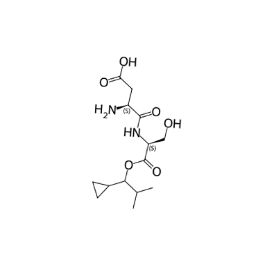 CC(C)C(OC(=O)[C@H](CO)NC(=O)[C@@H](N)CC(=O)O)C1CC1